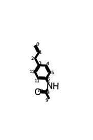 C=CCc1ccc(NC(C)=O)cc1